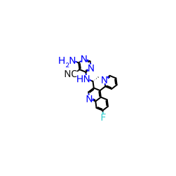 C[C@@H](Nc1ncnc(N)c1C#N)c1cnc2cc(F)ccc2c1-c1ccccn1